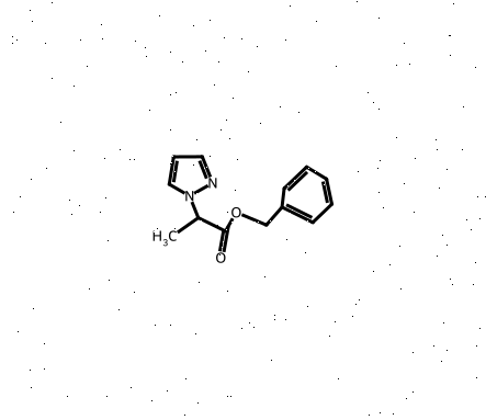 CC(C(=O)OCc1ccccc1)n1cccn1